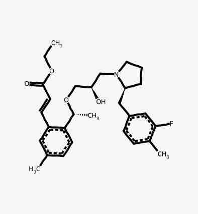 CCOC(=O)/C=C/c1cc(C)ccc1[C@@H](C)OC[C@H](O)CN1CCC[C@H]1Cc1ccc(C)c(F)c1